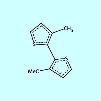 COc1ccsc1-c1sccc1C